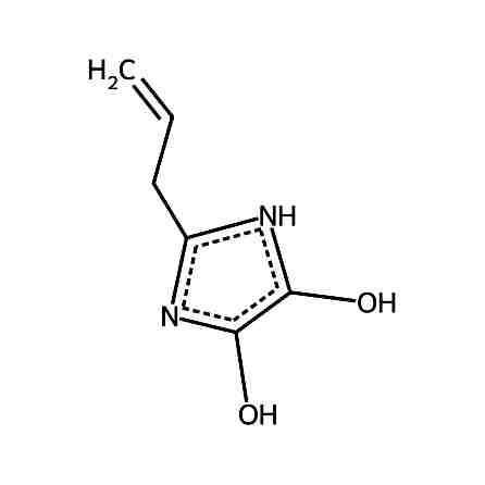 C=CCc1nc(O)c(O)[nH]1